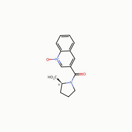 O=C(O)[C@@H]1CCCN1C(=O)c1cc2ccccc2[n+]([O-])c1